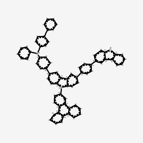 c1ccc(-c2ccc(N(c3ccccc3)c3ccc(-c4ccc5c(c4)c4cc(-c6ccc(-c7ccc8oc9ccccc9c8c7)cc6)ccc4n5-c4ccc5c6ccccc6c6ccccc6c5c4)cc3)cc2)cc1